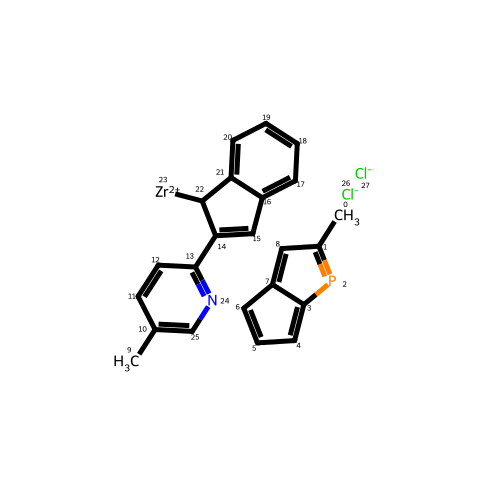 CC1=PC2=CC=CC2=C1.Cc1ccc(C2=Cc3ccccc3[CH]2[Zr+2])nc1.[Cl-].[Cl-]